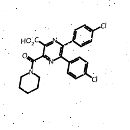 O=C(O)c1nc(-c2ccc(Cl)cc2)c(-c2ccc(Cl)cc2)nc1C(=O)N1CCCCC1